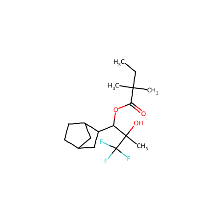 CCC(C)(C)C(=O)OC(C1CC2CCC1C2)C(C)(O)C(F)(F)F